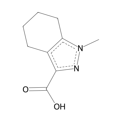 Cn1nc(C(=O)O)c2c1CCCC2